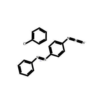 Clc1ccccc1.[N-]=[N+]=Nc1ccc(/N=N/c2ccccc2)cc1